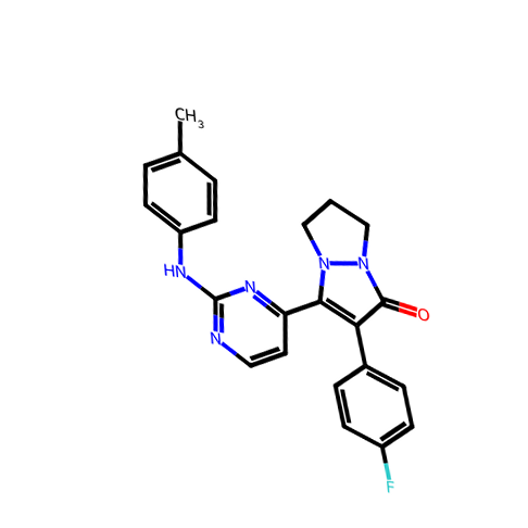 Cc1ccc(Nc2nccc(-c3c(-c4ccc(F)cc4)c(=O)n4n3CCC4)n2)cc1